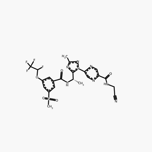 Cc1nc([C@H](C)NC(=O)c2cc(OC(F)C(F)(F)F)cc(S(C)(=O)=O)c2)n(-c2cnc(C(=O)NCC#N)cn2)n1